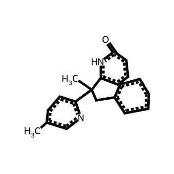 Cc1ccc(C(C)(Cc2ccccc2)c2cccc(=O)[nH]2)nc1